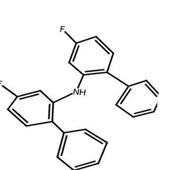 Fc1ccc(-c2ccccc2)c(Nc2cc(F)ccc2-c2ccccc2)c1